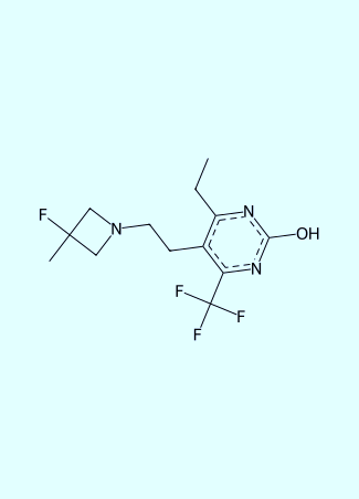 CCc1nc(O)nc(C(F)(F)F)c1CCN1CC(C)(F)C1